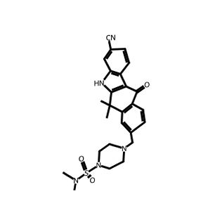 CN(C)S(=O)(=O)N1CCN(Cc2ccc3c(c2)C(C)(C)c2[nH]c4cc(C#N)ccc4c2C3=O)CC1